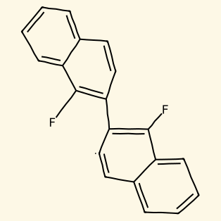 Fc1c(-c2ccc3ccccc3c2F)[c]cc2ccccc12